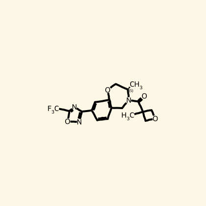 C[C@H]1COc2cc(-c3noc(C(F)(F)F)n3)ccc2CN1C(=O)C1(C)COC1